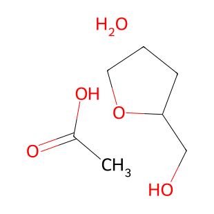 CC(=O)O.O.OCC1CCCO1